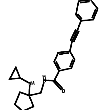 O=C(NCC1(NC2CC2)CCCC1)c1ccc(C#Cc2ccncc2)cc1